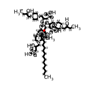 CCCCCCCCCCCCCC[N+](C)(C)CCC[Si](OC(CN1CCN(CC(O)CC)CC1)CS(=O)(=O)O)(OC(CN1CCN(CC(O)CC)CC1)CS(=O)(=O)O)OC(CN1CCN(CC(O)CS(=O)(=O)O)CC1)CS(=O)(=O)O